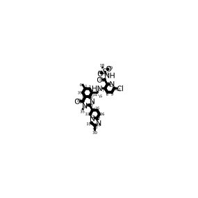 Cc1cc([C@@H](C)Nc2ccc(Cl)nc2C(=O)NS(C)(=O)=O)c2nc(-c3ccc4nc(C)cn4c3)n(C)c(=O)c2c1